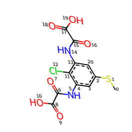 CSc1cc(NC(=O)C(=O)O)c(Cl)c(NC(=O)C(=O)O)c1